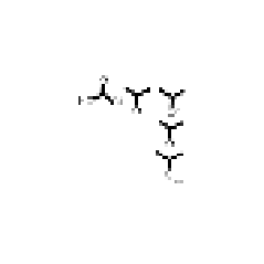 CC(C)[O-].CC(C)[O-].CC(C)[O-].CC(C)[O-].O=C(O)O.[Ti+4]